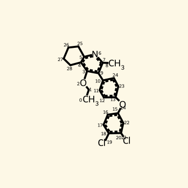 CCOc1c2c(nc(C)c1-c1ccc(Oc3ccc(Cl)c(Cl)c3)cc1)CCCC2